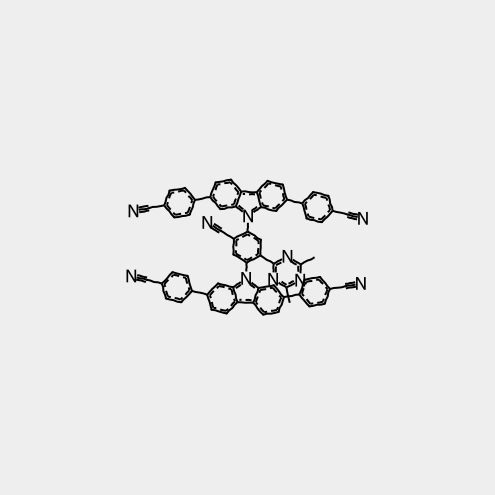 Cc1nc(C)nc(-c2cc(-n3c4cc(-c5ccc(C#N)cc5)ccc4c4ccc(-c5ccc(C#N)cc5)cc43)c(C#N)cc2-n2c3cc(-c4ccc(C#N)cc4)ccc3c3ccc(-c4ccc(C#N)cc4)cc32)n1